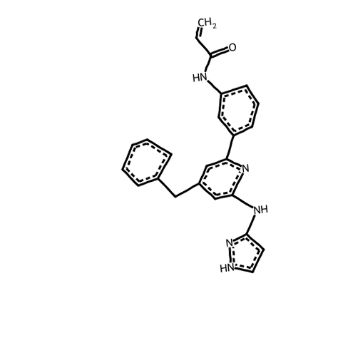 C=CC(=O)Nc1cccc(-c2cc(Cc3ccccc3)cc(Nc3cc[nH]n3)n2)c1